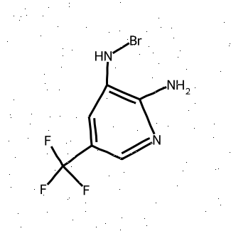 Nc1ncc(C(F)(F)F)cc1NBr